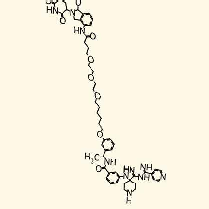 C[C@@H](NC(=O)c1cccc(NC2(C(=N)NC(=N)c3ccncc3)CCNCC2)c1)c1cccc(OCCCCCCOCCOCCOCCCC(=O)Nc2cccc3c2CN(C2CCC(=O)NC2=O)C3=O)c1